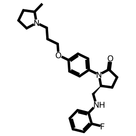 CC1CCCN1CCCOc1ccc(N2C(=O)CC[C@H]2CNc2ccccc2F)cc1